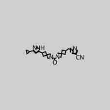 N#Cc1cnn(CC2CC3(C2)CN(C(=O)N2CC4(CC(c5cc(C6CC6)n[nH]5)C4)C2)C3)c1